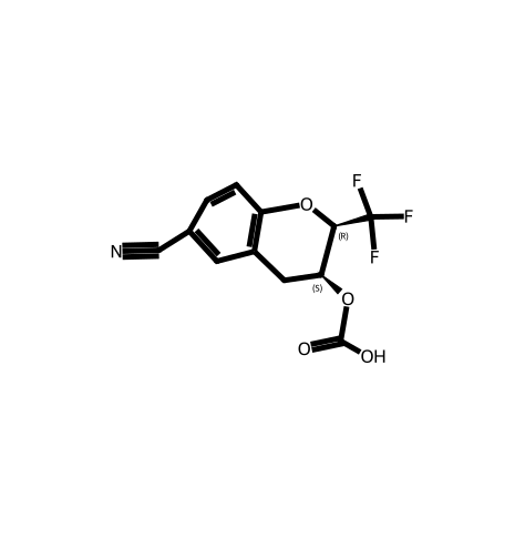 N#Cc1ccc2c(c1)C[C@H](OC(=O)O)[C@H](C(F)(F)F)O2